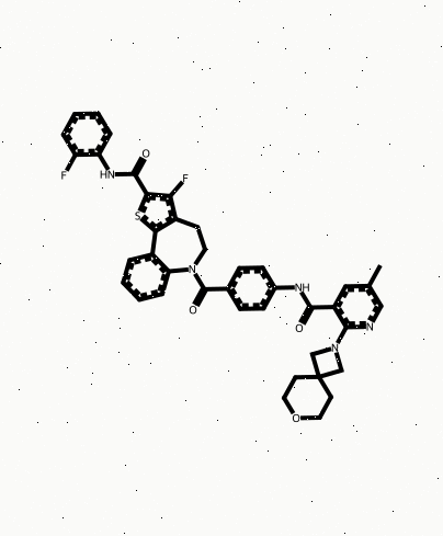 Cc1cnc(N2CC3(CCOCC3)C2)c(C(=O)Nc2ccc(C(=O)N3CCc4c(sc(C(=O)Nc5ccccc5F)c4F)-c4ccccc43)cc2)c1